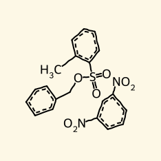 Cc1ccccc1S(=O)(=O)OCc1ccccc1.O=[N+]([O-])c1cccc([N+](=O)[O-])c1